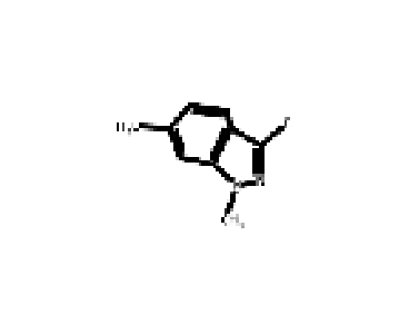 Cc1ccc2c(F)nn(C)c2c1